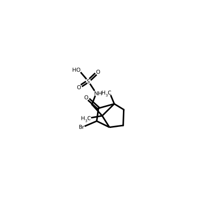 CC12CCC(C(Br)C1=O)C2(C)CNS(=O)(=O)O